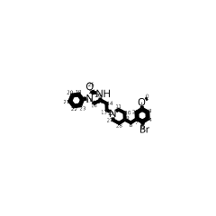 COc1ccc(Br)c(CC2CCN(CCC3CN(c4ccccc4)C(=O)N3)CC2)c1